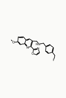 COc1ccc2cc(CNCc3ccc(CF)cc3)c(-c3ncco3)nc2c1